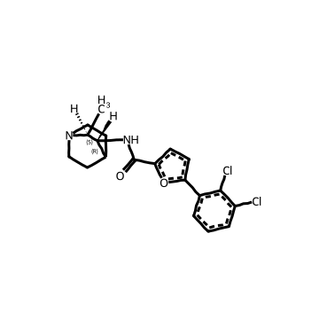 C[C@H]1[C@H](NC(=O)c2ccc(-c3cccc(Cl)c3Cl)o2)C2CCN1CC2